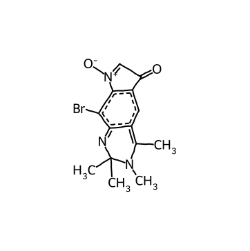 CC1=c2cc3c(c(Br)c2=NC(C)(C)N1C)[N+]([O-])=CC3=O